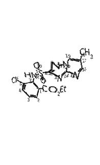 CCOC(=O)c1cccc(Cl)c1NS(=O)(=O)c1nc2ncc(C)cn2n1